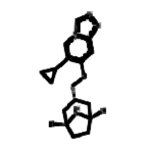 c1c(OC[C@H]2C[C@H]3CC[C@@H](C2)N3)c(C2CC2)cn2cnnc12